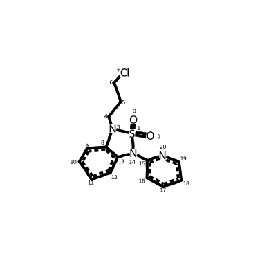 O=S1(=O)N(CCCCl)c2ccccc2N1c1ccccn1